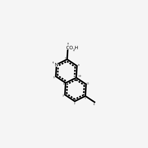 Cc1ccc2cnc(C(=O)O)cc2c1